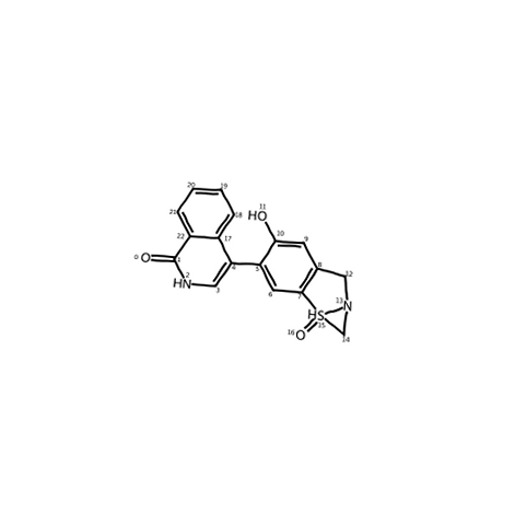 O=c1[nH]cc(-c2cc3c(cc2O)CN2C[SH]32=O)c2ccccc12